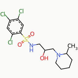 CC1CCCCN1CC(O)CNS(=O)(=O)c1cc(Cl)c(Cl)cc1Cl